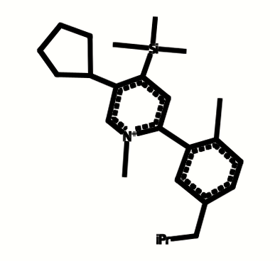 Cc1ccc(CC(C)C)cc1-c1cc([Si](C)(C)C)c(C2CCCC2)c[n+]1C